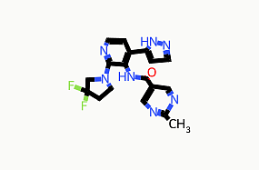 Cc1ncc(C(=O)Nc2c(-c3ccn[nH]3)ccnc2N2CCC(F)(F)C2)cn1